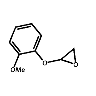 COc1ccccc1OC1CO1